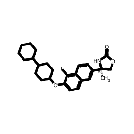 C[C@@]1(c2ccc3c(I)c(OC4CCC(C5CCCCC5)CC4)ccc3c2)COC(=O)N1